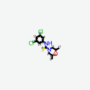 CC1CN(C(=S)Nc2cc(Cl)cc(Cl)c2)CC(C)O1